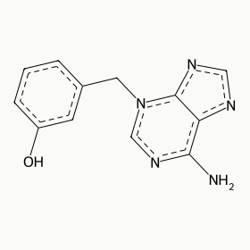 Nc1ncn(Cc2cccc(O)c2)c2ncnc1-2